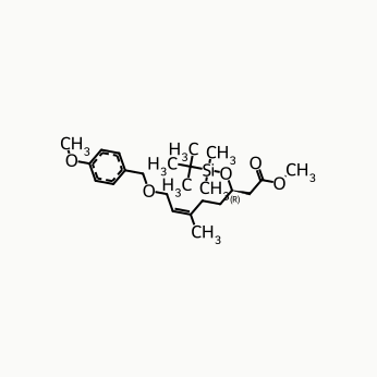 COC(=O)C[C@@H](CCC(C)=CCOCc1ccc(OC)cc1)O[Si](C)(C)C(C)(C)C